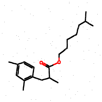 Cc1ccc(CC(C)C(=O)OCCCCCC(C)C)c(C)c1